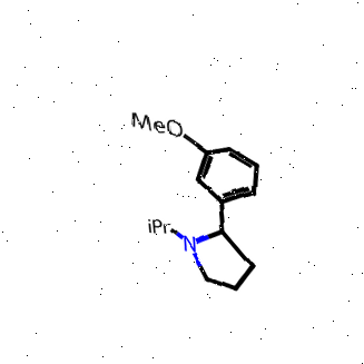 COc1cccc(C2CCCN2C(C)C)c1